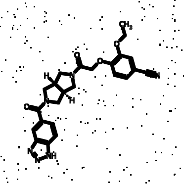 CCOc1cc(C#N)ccc1OCC(=O)N1C[C@H]2CN(C(=O)c3ccc4[nH]nnc4c3)C[C@@H]2C1